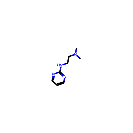 CN(C)CCNc1ncccn1